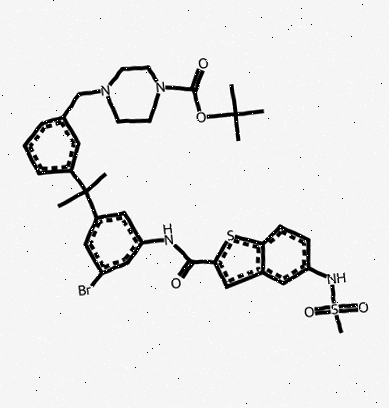 CC(C)(C)OC(=O)N1CCN(Cc2cccc(C(C)(C)c3cc(Br)cc(NC(=O)c4cc5cc(NS(C)(=O)=O)ccc5s4)c3)c2)CC1